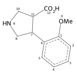 COc1ccccc1C1CNCC1C(=O)O